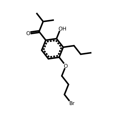 CCCc1c(OCCCBr)ccc(C(=O)C(C)C)c1O